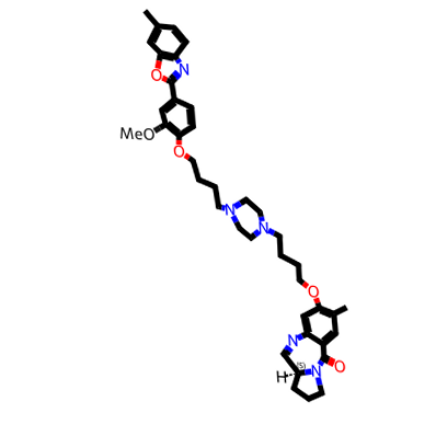 COc1cc(-c2nc3ccc(C)cc3o2)ccc1OCCCCN1CCN(CCCCOc2cc3c(cc2C)C(=O)N2CCC[C@H]2C=N3)CC1